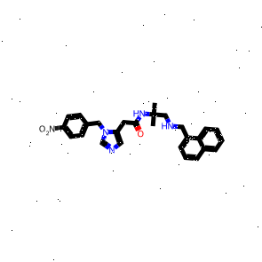 CC(C)(CNCc1cccc2ccccc12)NC(=O)Cc1cncn1Cc1ccc([N+](=O)[O-])cc1